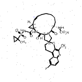 Cc1nc2ccc(F)cc2c2c1O[C@]1(CC2)C[C@H]2C(=O)N[C@]3(C(=O)NS(=O)(=O)C4(C)CC4)C[C@H]3/C=C\CCCCC[C@H](NC(=O)O)C(=O)N2C1